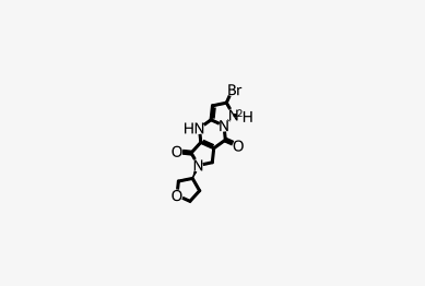 [2H]N1C(Br)C=C2NC3=C(CN([C@H]4CCOC4)C3=O)C(=O)N21